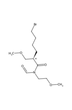 COCCN(C=O)C(=O)[C@H](CCCCBr)COC